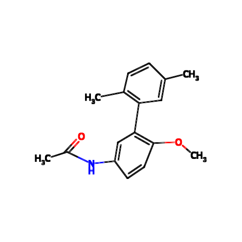 COc1ccc(NC(C)=O)cc1-c1cc(C)ccc1C